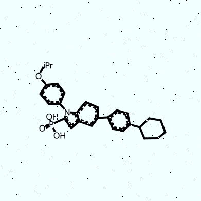 CC(C)Oc1ccc(-n2c(P(=O)(O)O)cc3cc(-c4ccc(C5CCCCC5)cc4)ccc32)cc1